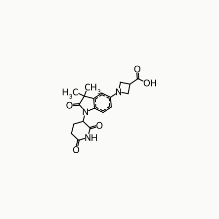 CC1(C)C(=O)N(C2CCC(=O)NC2=O)c2ccc(N3CC(C(=O)O)C3)cc21